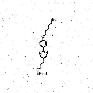 CCCCCOCCCc1cnc(-c2ccc(OCCCCCC(C)CC)cc2)nc1